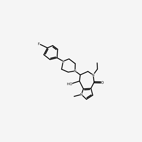 CCN1CC(N2CCN(c3ccc(F)cc3)CC2)C(O)c2c(ccn2C)C1=O